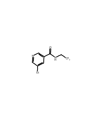 CCc1cncc(C(=O)NCC(F)(F)F)c1